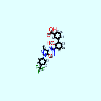 CC1=NN(c2ccc(C(F)(F)F)cc2)C(=O)C1=NNc1cccc(-c2cccc(C(=O)O)c2)c1O